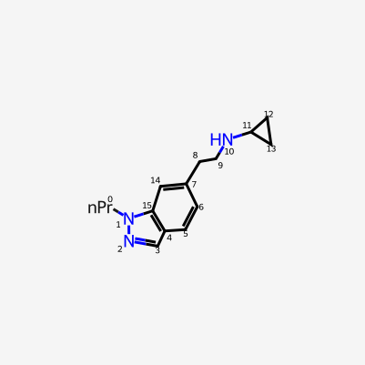 CCCn1ncc2ccc(CCNC3CC3)cc21